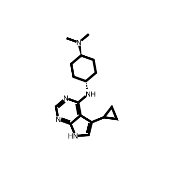 CN(C)[C@H]1CC[C@H](Nc2ncnc3[nH]cc(C4CC4)c23)CC1